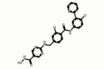 O=C(NO)c1cnc(NCc2ccc(C(=O)Nc3ccc(Cl)c(-c4ccccn4)c3)c(Cl)c2)nc1